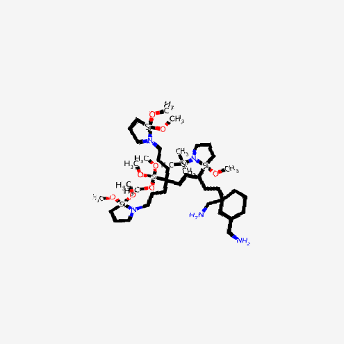 CO[Si]1(OC)CCCN1CCCC(CCCN1CCC[Si]1(OC)OC)(CCC(CCC1(CN)CCCC(CN)C1)[Si]1(OC)CCCN1[Si](C)(C)C)[Si](OC)(OC)OC